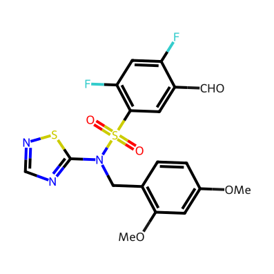 COc1ccc(CN(c2ncns2)S(=O)(=O)c2cc(C=O)c(F)cc2F)c(OC)c1